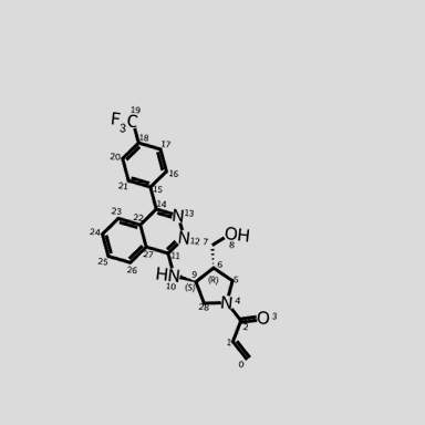 C=CC(=O)N1C[C@@H](CO)[C@H](Nc2nnc(-c3ccc(C(F)(F)F)cc3)c3ccccc23)C1